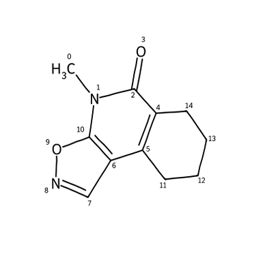 Cn1c(=O)c2c(c3cnoc31)CCCC2